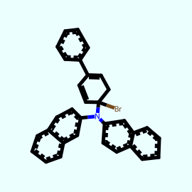 BrC1(N(c2ccc3ccccc3c2)c2ccc3ccccc3c2)C=CC(c2ccccc2)=CC1